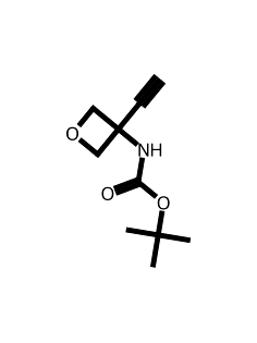 C#CC1(NC(=O)OC(C)(C)C)COC1